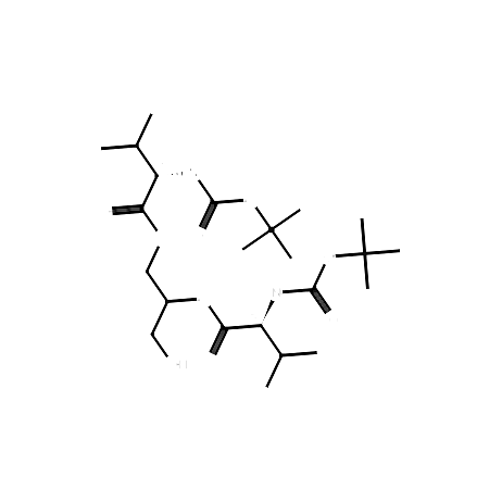 CC(C)[C@H](NC(=O)OC(C)(C)C)C(=O)OCC(CO)OC(=O)[C@@H](NC(=O)OC(C)(C)C)C(C)C